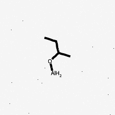 CCC(C)[O][AlH2]